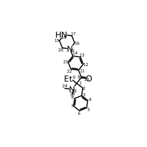 CCC(Cc1ccccc1)(C(=O)c1ccc(N2CCNCC2)cc1)N(C)C